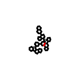 c1cc(-c2cccc(-n3c4ccccc4c4ccc5ccccc5c43)c2)cc(N(c2ccccc2-c2ccc3ccccc3c2)c2ccc(-c3ccc4ccccc4c3)c3ccccc23)c1